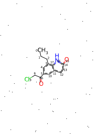 CCCc1cc(C(=O)CCl)cc2ccc(=O)[nH]c12